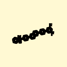 Fc1cc(F)cc(-c2ccc(-c3ccc4cc(-c5ccc(-c6nc7ccccc7s6)cc5)ccc4c3)cc2)c1